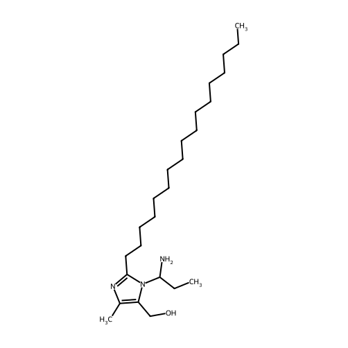 CCCCCCCCCCCCCCCCCc1nc(C)c(CO)n1C(N)CC